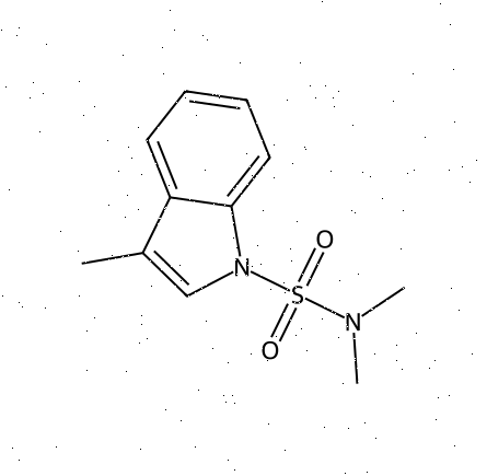 Cc1cn(S(=O)(=O)N(C)C)c2ccccc12